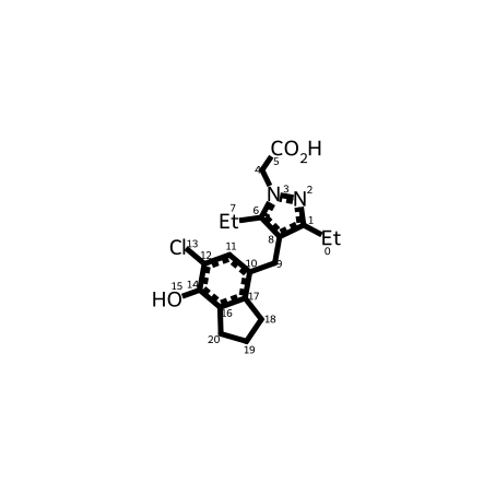 CCc1nn(CC(=O)O)c(CC)c1Cc1cc(Cl)c(O)c2c1CCC2